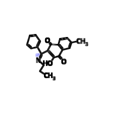 CCC/N=C(\C1=C(O)C(=O)c2cc(C)ccc2C1=O)c1ccccc1